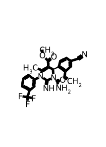 C=Cc1cc(C#N)ccc1[C@@H]1C(C(=O)OC)=C(C)N(c2cccc(C(F)(F)F)c2)C(=N)N1C(N)=O